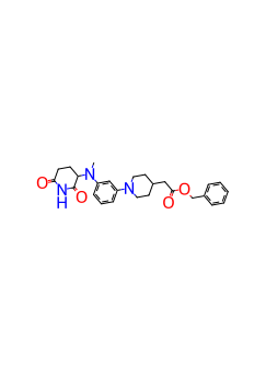 CN(c1cccc(N2CCC(CC(=O)OCc3ccccc3)CC2)c1)C1CCC(=O)NC1=O